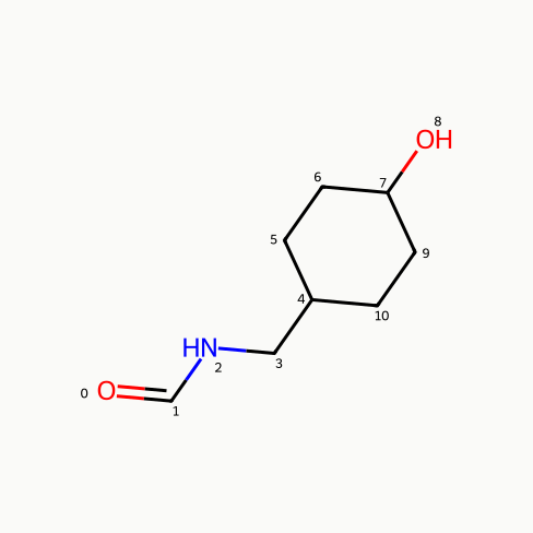 O=CNCC1CCC(O)CC1